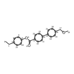 CCc1ccc(OC(=O)c2ccc(-c3ccc(COC)cc3)cc2)cc1